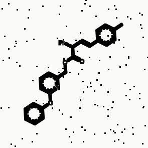 Cc1ccc(/C=C/C(C(=O)OCc2cccc(Oc3ccccc3)n2)C(C)C)cc1